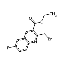 CCOC(=O)c1cc2cc(F)ccc2nc1CBr